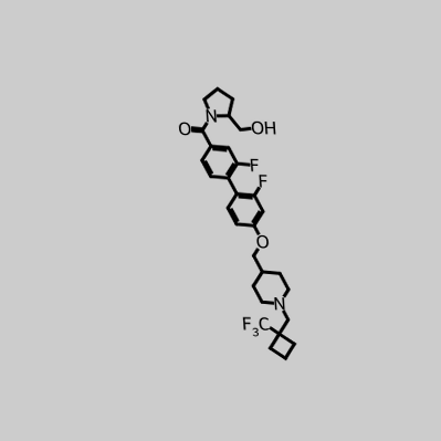 O=C(c1ccc(-c2ccc(OCC3CCN(CC4(C(F)(F)F)CCC4)CC3)cc2F)c(F)c1)N1CCCC1CO